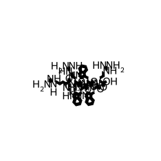 N=C(N)NCCC[C@H](NC(=O)[C@H](Cc1c[nH]c2ccccc12)NC(=O)[C@H](Cc1c[nH]c2ccccc12)NC(=O)[C@H](Cc1c[nH]c2ccccc12)NC(=O)[C@H](CCCNC(=N)N)NC(=O)[C@@H](N)CCCNC(=N)N)C(=O)O